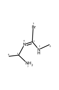 CN/C(Br)=N\C(C)N